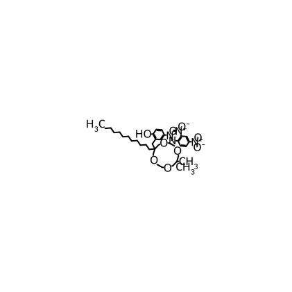 CCCCCCCCCCCCC1(Cc2cc(N=Nc3ccc([N+](=O)[O-])cc3[N+](=O)[O-])ccc2O)COCCOCC(C)(C)COCCOC1